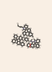 C/C=C1\C(=C(/C)N(c2ccccc2)c2cc3c4c(c2)N(c2ccccc2)c2c(ccc5c2-c2ccccc2C5(c2ccccc2)C2C=CC=CC2)B4c2ccc4c(c2N3c2cccc(C)c2)-c2ccccc2C4(/C(C)=C/C#CCC)c2ccccc2)c2ccccc2C1(c1ccccc1)c1ccccc1